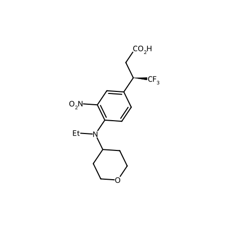 CCN(c1ccc([C@@H](CC(=O)O)C(F)(F)F)cc1[N+](=O)[O-])C1CCOCC1